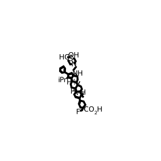 CC(C)C1=C2[C@H]3CC[C@@H]4[C@@]5(C)CC=C(C6=CC[C@](CF)(C(=O)O)CC6)C(C)(C)[C@@H]5CC[C@@]4(C)[C@]3(C)CC[C@@]2(NCCN2CCS(O)(O)CC2)C=C1c1ccccc1